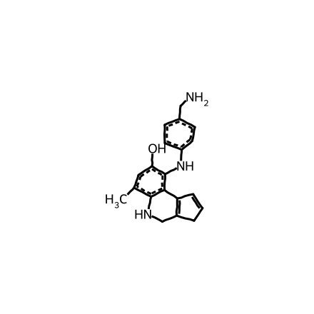 Cc1cc(O)c(Nc2ccc(CN)cc2)c2c1NCC1=C2C=CC1